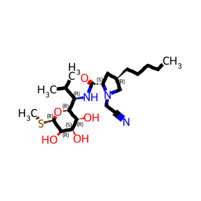 CCCCC[C@@H]1C[C@@H](C(=O)N[C@H](C(C)C)[C@H]2O[C@H](SC)[C@H](O)[C@@H](O)[C@H]2O)N(CC#N)C1